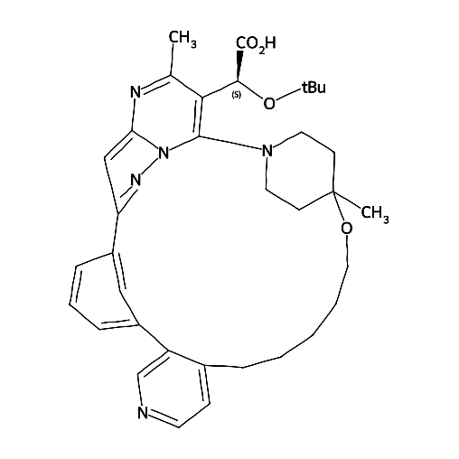 Cc1nc2cc3nn2c(c1[C@H](OC(C)(C)C)C(=O)O)N1CCC(C)(CC1)OCCCCCc1ccncc1-c1cccc-3c1